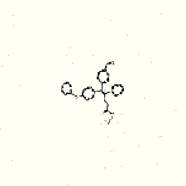 COC(=O)CC/C(=C(/c1ccc(C=O)cc1)c1ccc(Oc2ccccc2)cc1)c1ccccc1